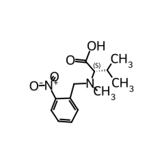 CC(C)[C@@H](C(=O)O)N(C)Cc1ccccc1[N+](=O)[O-]